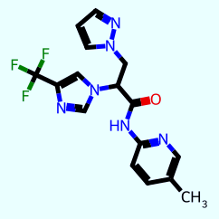 Cc1ccc(NC(=O)C(Cn2cccn2)n2cnc(C(F)(F)F)c2)nc1